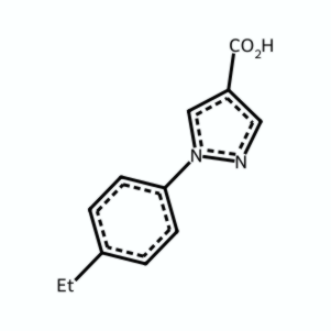 CCc1ccc(-n2cc(C(=O)O)cn2)cc1